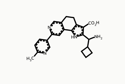 Cc1ccc(-c2cc3c(cn2)CCc2c-3[nH]c(C(N)C3CCC3)c2C(=O)O)cn1